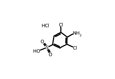 Cl.Nc1c(Cl)cc(S(=O)(=O)O)cc1Cl